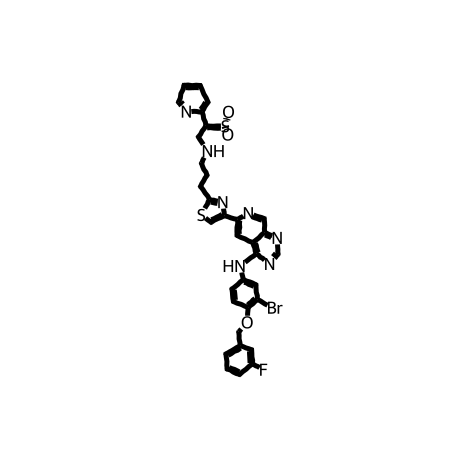 O=S(=O)=C(CNCCCc1nc(-c2cc3c(Nc4ccc(OCc5cccc(F)c5)c(Br)c4)ncnc3cn2)cs1)c1ccccn1